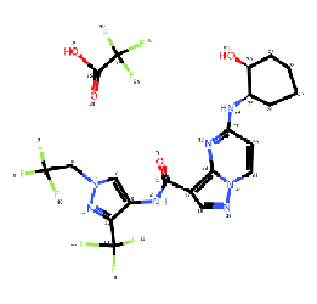 O=C(Nc1cn(CC(F)(F)F)nc1C(F)(F)F)c1cnn2ccc(N[C@@H]3CCCC[C@@H]3O)nc12.O=C(O)C(F)(F)F